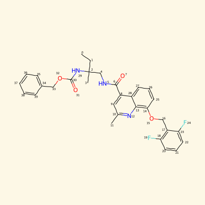 CCC(C)(CNC(=O)c1cc(C)nc2c(OCc3c(F)cccc3F)cccc12)NC(=O)OCc1ccccc1